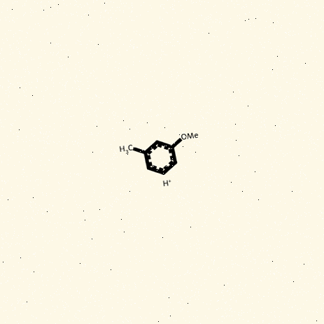 COc1cccc(C)c1.[H+]